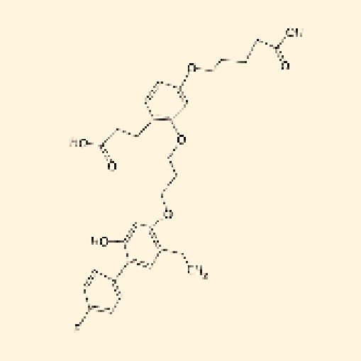 CCc1cc(-c2ccc(F)cc2)c(O)cc1OCCCOc1cc(OCCCCC(=O)O)ccc1CCC(=O)O